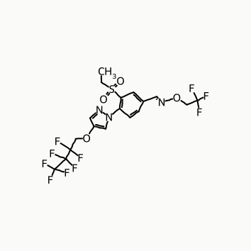 CCS(=O)(=O)c1cc(C=NOCC(F)(F)F)ccc1-n1cc(OCC(F)(F)C(F)(F)C(F)(F)F)cn1